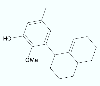 COc1c(O)cc(C)cc1C1CCCC2CCCC=C21